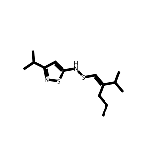 CCC/C(=C\SNc1cc(C(C)C)ns1)C(C)C